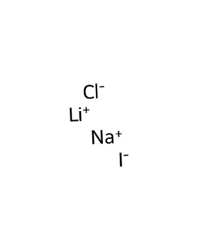 [Cl-].[I-].[Li+].[Na+]